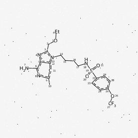 CCOCc1nc2c(N)nc(C)cc2n1CCCCNS(=O)(=O)c1ccc(OC(F)(F)F)cc1